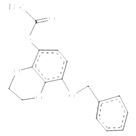 CC(=O)Oc1ccc(OCc2ccccc2)c2c1OCCO2